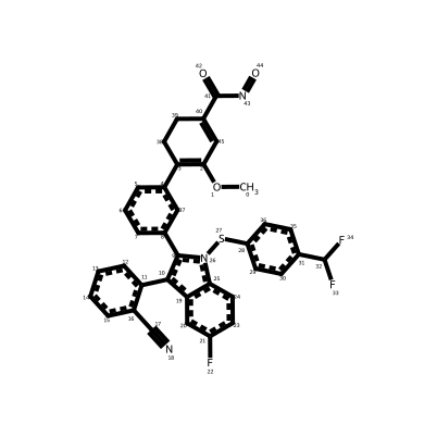 COC1=C(c2cccc(-c3c(-c4ccccc4C#N)c4cc(F)ccc4n3Sc3ccc(C(F)F)cc3)c2)CCC(C(=O)N=O)=C1